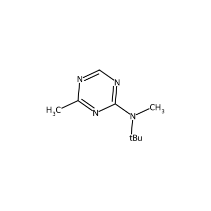 Cc1ncnc(N(C)C(C)(C)C)n1